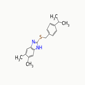 Cc1cc2nc(SCc3ccc(C(C)C)cc3)[nH]c2cc1C